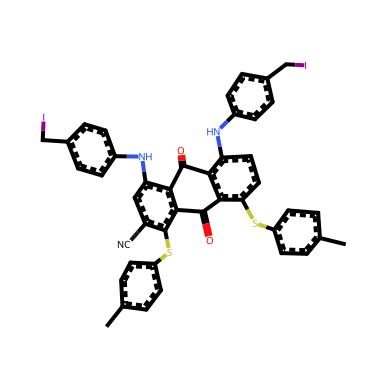 Cc1ccc(Sc2ccc(Nc3ccc(CI)cc3)c3c2C(=O)c2c(Sc4ccc(C)cc4)c(C#N)cc(Nc4ccc(CI)cc4)c2C3=O)cc1